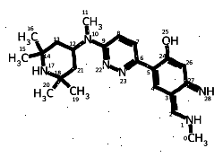 CN/C=C1/C=C(c2ccc(N(C)C3CC(C)(C)NC(C)(C)C3)nn2)C(O)=CC1=N